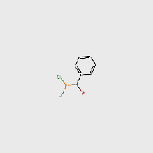 ClP(Cl)C(Br)c1ccccc1